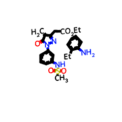 C=C1C(=O)N(c2cccc(NS(C)(=O)=O)c2)N=C1CC(=O)OCC.CCc1ccccc1N